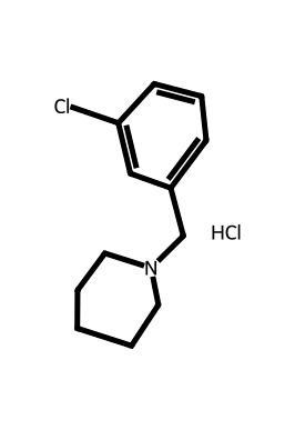 Cl.Clc1cccc(CN2CCCCC2)c1